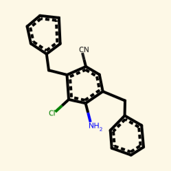 N#Cc1cc(Cc2ccccc2)c(N)c(Cl)c1Cc1ccccc1